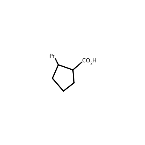 CC(C)C1CCCC1C(=O)O